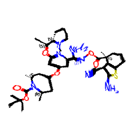 C[C@H](Oc1cc(OC2C[C@@H](C)N(C(=O)OC(C)(C)C)[C@H](C)C2)cc(/C(N)=N/OC(=O)[C@@]2(C)CCCc3sc(N)c(C#N)c32)n1)[C@@H]1CCCN1C